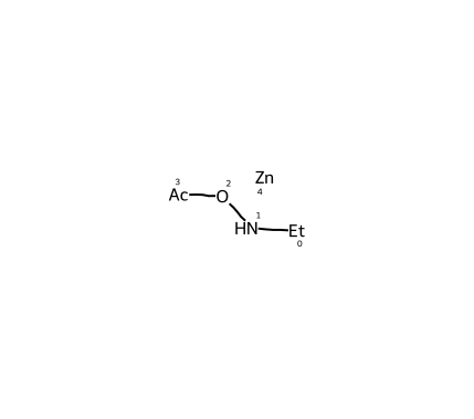 CCNOC(C)=O.[Zn]